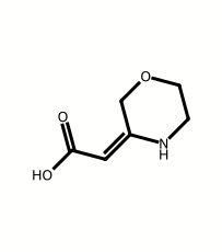 O=C(O)C=C1COCCN1